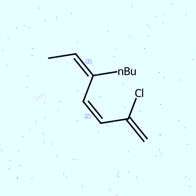 C=C(Cl)/C=C\C(=C/C)CCCC